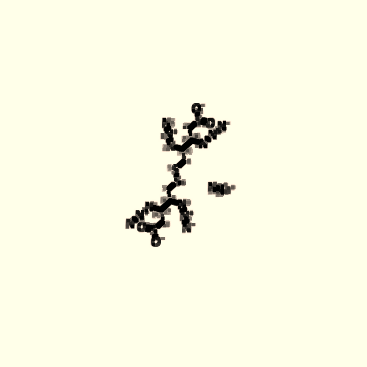 [N-]=[N+]=N[C@@H](CSSC[C@H](N=[N+]=[N-])[C@H](CS(=O)[O-])N=[N+]=[N-])[C@H](CS(=O)[O-])N=[N+]=[N-].[Na+].[Na+]